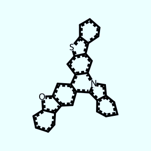 c1ccc2c(c1)cn1c3cc4c(cc3c3cc5oc6ccccc6c5cc3c21)sc1ccccc14